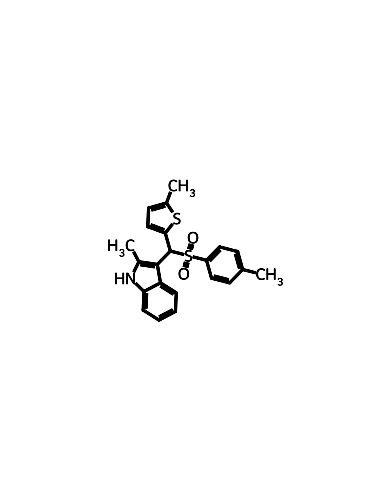 Cc1ccc(S(=O)(=O)C(c2ccc(C)s2)c2c(C)[nH]c3ccccc23)cc1